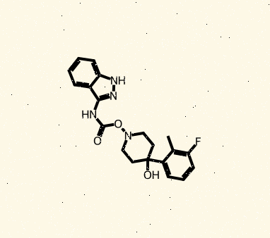 Cc1c(F)cccc1C1(O)CCN(OC(=O)Nc2n[nH]c3ccccc23)CC1